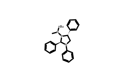 CCCCN(C)P1[C@H](c2ccccc2)N(c2ccccc2)C[C@H]1c1ccccc1